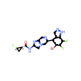 O=C(Nc1cn2cc(-c3c(Br)c(F)c(F)c4[nH]ncc34)ncc2n1)[C@@H]1C[C@@H]1F